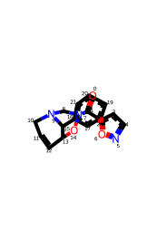 O=C(c1ccno1)N1CN2CC=CC(O1)C2c1ccccc1